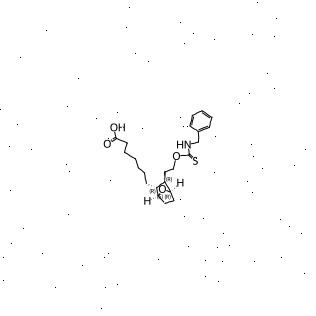 O=C(O)CCCCCC[C@@H]1[C@@H](CCOC(=S)NCc2ccccc2)[C@H]2CC[C@@H]1O2